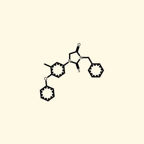 Cc1cc(N2CC(=O)N(Cc3ccccc3)C2=S)ccc1Oc1ccccc1